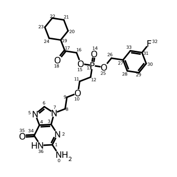 Nc1nc2c(ncn2CCOCCP(=O)(OCC(=O)C2CCCCC2)OCc2cccc(F)c2)c(=O)[nH]1